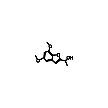 COc1cc(OC)c2oc(C(C)O)cc2c1